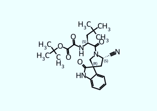 CC(C)(C)C[C@H](NC(=O)C(=O)OC(C)(C)C)C(=O)N1C[C@]2(C[C@H]1C#N)C(=O)Nc1ccccc12